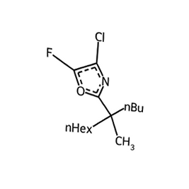 CCCCCCC(C)(CCCC)c1nc(Cl)c(F)o1